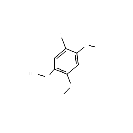 COc1cc(SC)c(OC)cc1C